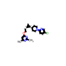 Cc1nc(C#N)cc(OCC[C@@H]2C[C@@H]2C2CCN(c3ccc(Cl)cn3)CC2)n1